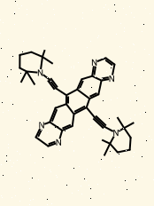 CC1(C)CCCC(C)(C)N1C#Cc1c2cc3nccnc3cc2c(C#CN2C(C)(C)CCCC2(C)C)c2cc3nccnc3cc12